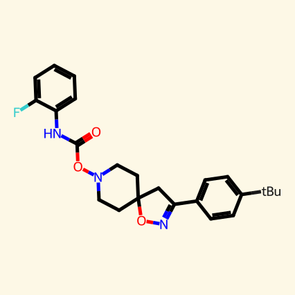 CC(C)(C)c1ccc(C2=NOC3(CCN(OC(=O)Nc4ccccc4F)CC3)C2)cc1